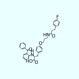 O=C(CCc1ccc(F)cc1)NCCCOc1ccc(C[C@H](Nc2ccccc2C(=O)c2ccccc2)C(=O)O)cc1